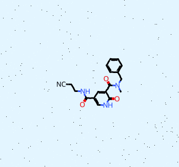 CN(Cc1ccccc1)C(=O)c1cc(C(=O)NCCC#N)c[nH]c1=O